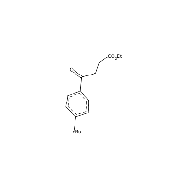 CCCCc1ccc(C(=O)CCC(=O)OCC)cc1